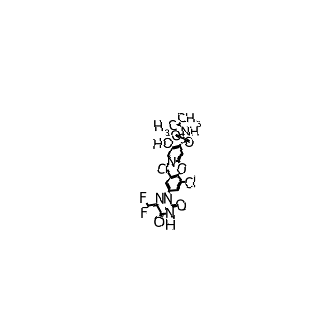 CC(C)NS(=O)(=O)c1cc(Oc2c(Cl)cc(-n3nc(C(F)F)c(=O)[nH]c3=O)cc2Cl)ncc1O